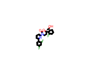 O=C1O[C@@](CCO)(c2ccccc2F)CCN1c1cccc(-c2ccc(F)cc2F)n1